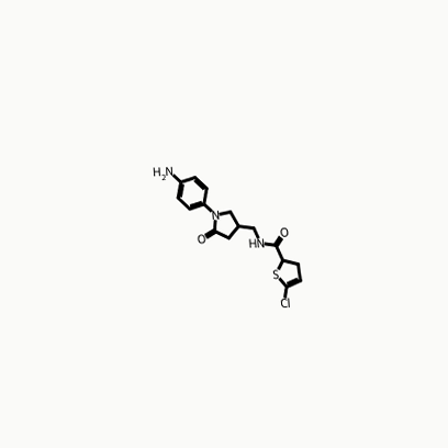 Nc1ccc(N2CC(CNC(=O)C3CC=C(Cl)S3)CC2=O)cc1